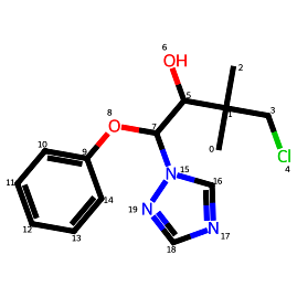 CC(C)(CCl)C(O)C(Oc1ccccc1)n1cncn1